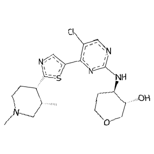 C[C@@H]1CN(C)CC[C@@H]1c1ncc(-c2nc(N[C@@H]3CCOC[C@H]3O)ncc2Cl)s1